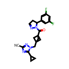 N#Cc1nc(C2CC2)n(CC23CC(C(=O)N4N=CCC4c4cc(F)cc(F)c4)(C2)C3)n1